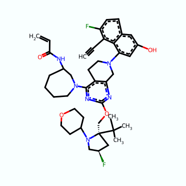 C#Cc1c(F)ccc2cc(O)cc(N3CCc4c(nc(OC[C@]5(C(C)(C)C)C[C@@H](F)CN5C5CCOCC5)nc4N4CCCCC(NC(=O)C=C)C4)C3)c12